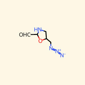 [N-]=[N+]=NCC1CNC(C=O)O1